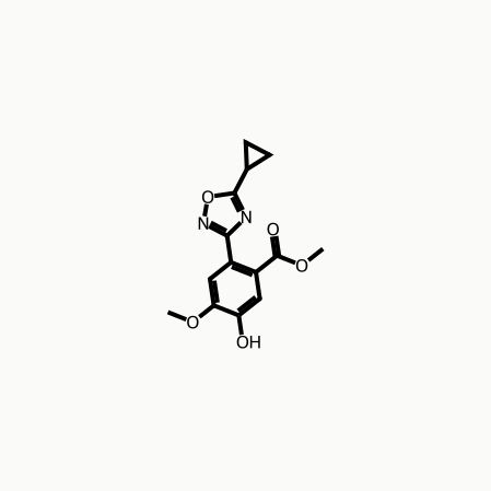 COC(=O)c1cc(O)c(OC)cc1-c1noc(C2CC2)n1